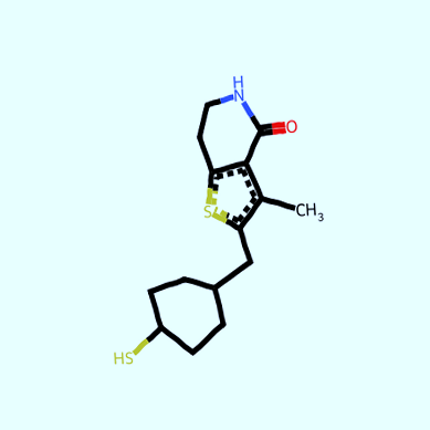 Cc1c(CC2CCC(S)CC2)sc2c1C(=O)NCC2